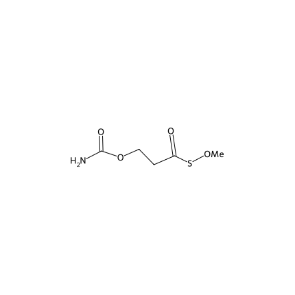 COSC(=O)CCOC(N)=O